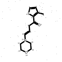 Cc1ccsc1C(=O)CC=CN1CCOCC1